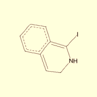 IC1=c2ccccc2=CCN1